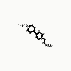 CCCCCN1CCC(c2ccc(CCNC)cc2)CC1